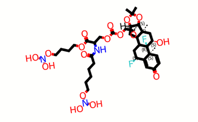 CC1(C)O[C@@H]2CC3C4C[C@H](F)C5=CC(=O)C=C[C@]5(C)[C@@]4(F)[C@@H](O)C[C@]3(C)[C@]2(C(=O)COC(=O)OCC(NC(=O)CCCCCON(O)O)C(=O)OCCCCON(O)O)O1